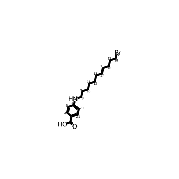 O=C(O)c1ccc(NCCCCCCCCCCCBr)cc1